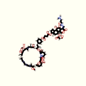 COC[C@H]1OC(=O)/C(=C/N(C)CCCN(C)C)C2=C(O)C(=O)C3=C([C@H](OC(C)=O)C[C@@]4(C)C3CC[C@@H]4OC(=O)CCC(=O)O[C@H]3CC[C@H](C[C@@H](C)[C@@H]4CC(=O)[C@H](C)/C=C(\C)[C@@H](O)[C@@H](OC)C(=O)[C@H](C)C[C@H](C)/C=C/C=C/C=C(\C)[C@@H](OC)C[C@@H]5CC[C@@H](C)[C@@](O)(O5)C(=O)C(=O)N5CCCC[C@H]5C(=O)O4)CC3)[C@]21C